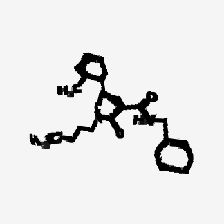 CCCCn1cc(-c2ccccc2C)cc(C(=O)NCc2ccccc2)c1=O